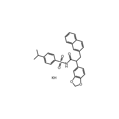 CC(C)c1ccc(S(=O)(=O)NC(=O)C(Cc2ccc3ccccc3c2)c2ccc3c(c2)OCO3)cc1.[KH]